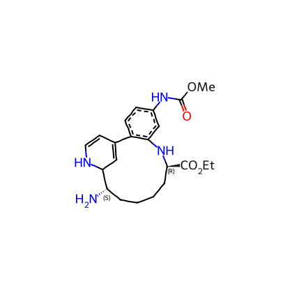 CCOC(=O)[C@H]1CCCC[C@H](N)C2C=C(C=CN2)c2ccc(NC(=O)OC)cc2N1